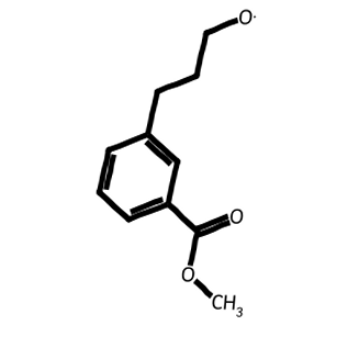 COC(=O)c1cccc(CCC[O])c1